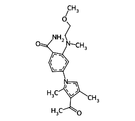 COCCN(C)c1cc(-n2cc(C)c(C(C)=O)c2C)ccc1C(N)=O